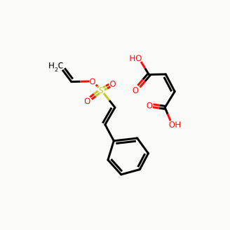 C=COS(=O)(=O)C=Cc1ccccc1.O=C(O)/C=C\C(=O)O